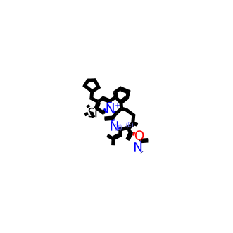 C=NC(=C)OC(=C)C1=C(\C)CCC2c3ccccc3-c3cc(CC4CCCC4)c([Si](C)(C)C)c[n+]3C2C(=C)/N=C\1C=C(C)C